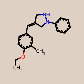 CCOc1ccc(C=C2CNN(c3ccccc3)C2)cc1C